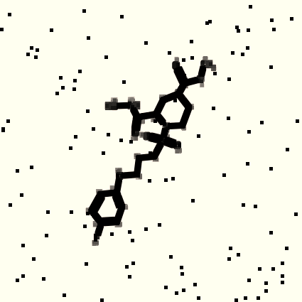 COC(=O)C1CCN(S(=O)(=O)CCCOc2ccc(F)cc2)C(C(=O)NO)C1